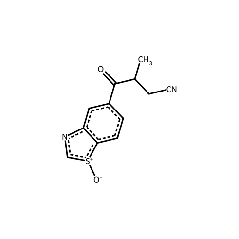 CC(CC#N)C(=O)c1ccc2c(c1)nc[s+]2[O-]